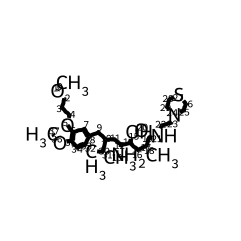 COCCCOc1cc(CC(CC(N)C(O)CC(C)C(=O)NCCN2CCSCC2)C(C)C)ccc1OC